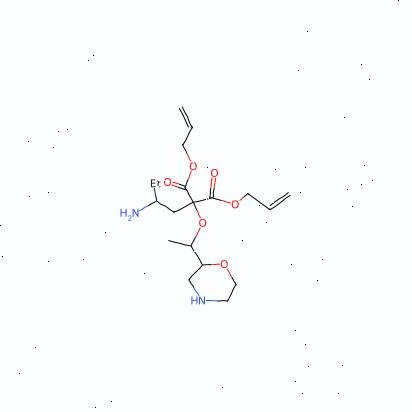 C=CCOC(=O)C(CC(N)CC)(OC(C)C1CNCCO1)C(=O)OCC=C